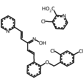 O=C(O)c1ncccc1Cl.ON=C(C=Cc1ccccn1)C=Cc1ccccc1OCc1ccc(Cl)cc1Cl